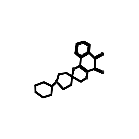 O=C1C(=O)c2ccccc2C2=C1SCC1(CCN(C3CCCCC3)CC1)O2